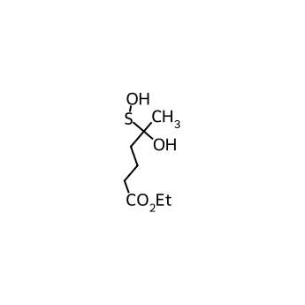 CCOC(=O)CCCC(C)(O)SO